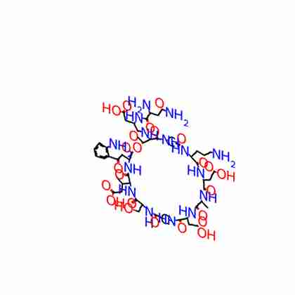 CC1NC(=O)C(CC(=O)O)NC(=O)C(CCCN)NC(=O)CNC(=O)C(NC(=O)C(CC(=O)O)NC(=O)C(N)CC(N)=O)C(C)OC(=O)C(CC(=O)c2ccccc2N)NC(=O)C(C(C)CC(=O)O)NC(=O)C(CO)NC(=O)CNC(=O)C(CC(=O)O)NC1=O